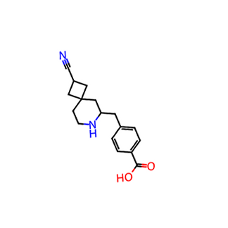 N#CC1CC2(CCNC(Cc3ccc(C(=O)O)cc3)C2)C1